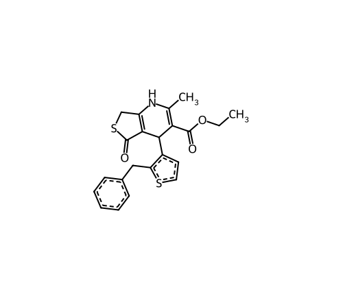 CCOC(=O)C1=C(C)NC2=C(C(=O)SC2)C1c1ccsc1Cc1ccccc1